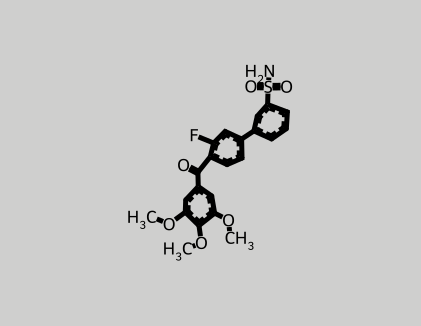 COc1cc(C(=O)c2ccc(-c3cccc(S(N)(=O)=O)c3)cc2F)cc(OC)c1OC